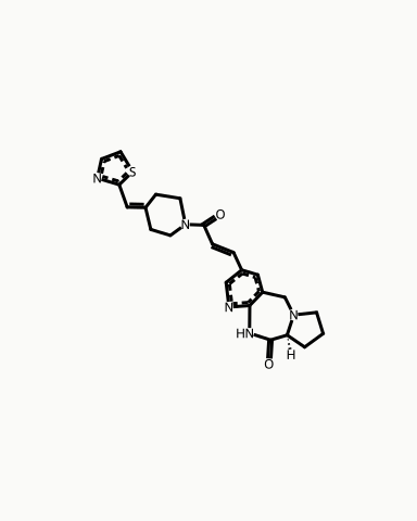 O=C1Nc2ncc(/C=C/C(=O)N3CCC(=Cc4nccs4)CC3)cc2CN2CCC[C@@H]12